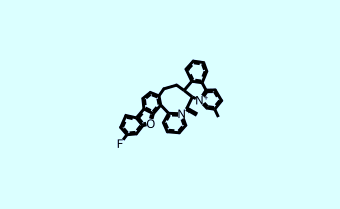 C=C1C2C(CCc3ccc4c(oc5cc(F)ccc54)c3-c3cccc[n+]31)c1ccccc1-c1ccc(C)c[n+]12